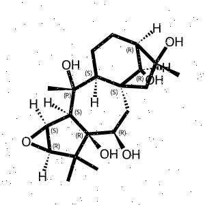 CC1(C)[C@H]2O[C@H]2[C@H]2[C@](C)(O)[C@H]3CC[C@@H]4[C@@H](O)[C@@]3(C[C@@H](O)[C@@]21O)C[C@@]4(C)O